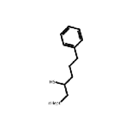 CCCCCCCCC(S)CCCc1cc[c]cc1